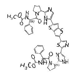 COC(=O)N[C@@H](C(=O)N1CCCC1c1ncc(-c2cc3sc(-c4cnc(-c5c[nH]c([C@@H]6CCCN6C(=O)[C@H](NC(=O)OC)c6ccccc6)n5)s4)cc3s2)[nH]1)c1ccccc1